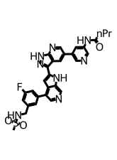 CCCC(=O)Nc1cncc(-c2cnc3[nH]nc(-c4cc5c(-c6cc(F)cc(CNS(C)(=O)=O)c6)cncc5[nH]4)c3c2)c1